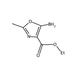 Bc1oc(C)nc1C(=O)OCC